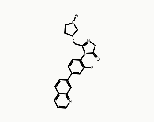 CC(=O)N1CC[C@@H](Cc2n[nH]c(=O)n2-c2ccc(-c3ccc4cccnc4c3)cc2F)C1